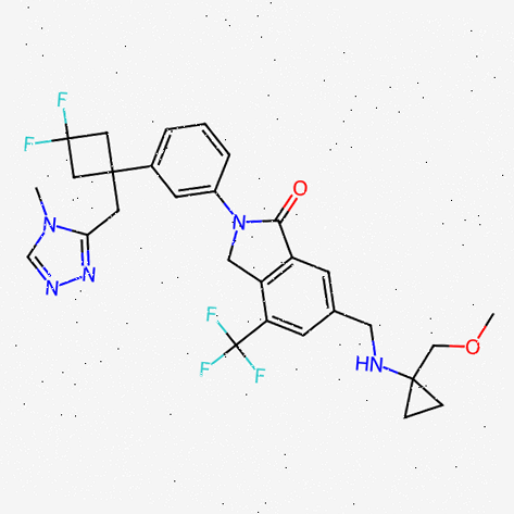 COCC1(NCc2cc3c(c(C(F)(F)F)c2)CN(c2cccc(C4(Cc5nncn5C)CC(F)(F)C4)c2)C3=O)CC1